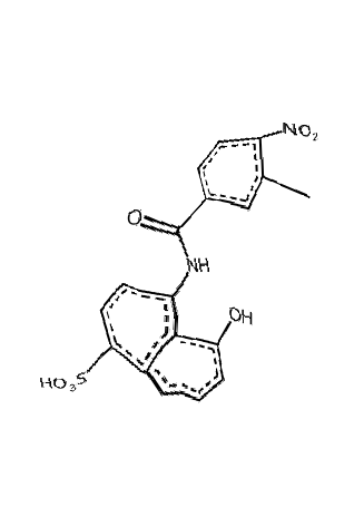 Cc1cc(C(=O)Nc2ccc(S(=O)(=O)O)c3cccc(O)c23)ccc1[N+](=O)[O-]